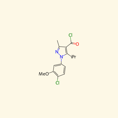 COc1cc(-n2nc(C)c(C(=O)Cl)c2C(C)C)ccc1Cl